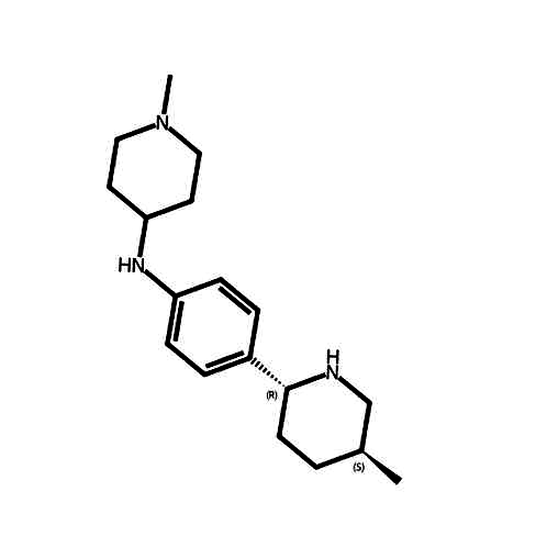 C[C@H]1CC[C@H](c2ccc(NC3CCN(C)CC3)cc2)NC1